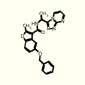 Cc1oc2ccc(OCc3ccccc3)cc2c1C(=O)NC(C)c1nnc2ncccn12